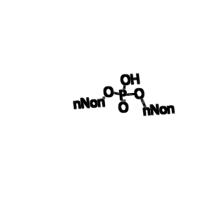 CCCCCCCCCOP(=O)(O)OCCCCCCCCC